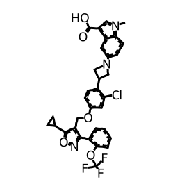 Cn1cc(C(=O)O)c2cc(N3CC(c4ccc(OCc5c(-c6ccccc6OC(F)(F)F)noc5C5CC5)cc4Cl)C3)ccc21